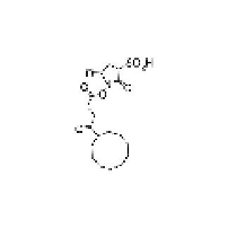 O=C(CCC(=O)C1CCCCCCCCC1)ON1C(=O)CC(S(=O)(=O)O)C1=O